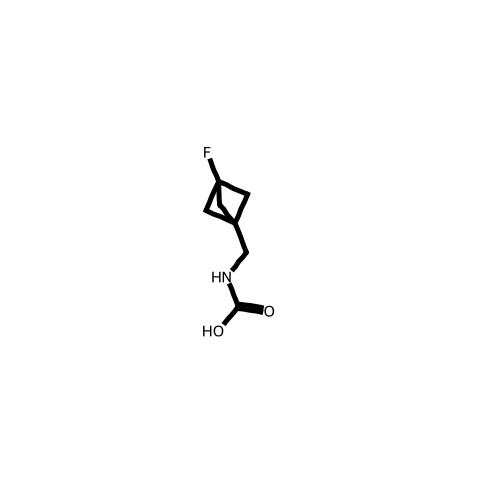 O=C(O)NCC12CC(F)(C1)C2